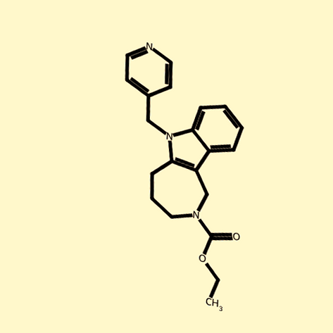 CCOC(=O)N1CCCc2c(c3ccccc3n2Cc2ccncc2)C1